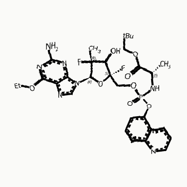 CCOc1nc(N)nc2c1ncn2[C@@H]1O[C@](F)(COP(=O)(N[C@@H](C)C(=O)OCC(C)(C)C)Oc2cccc3ncccc23)C(O)[C@@]1(C)F